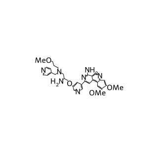 COCCCN(Cc1ccncc1)C[C@H](N)COc1cncc(-c2cc3c(cnc4cc(OC)c(OC)cc43)c(N)n2)c1